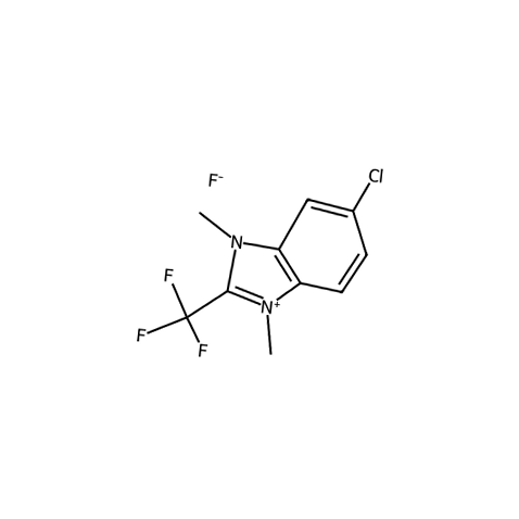 Cn1c(C(F)(F)F)[n+](C)c2ccc(Cl)cc21.[F-]